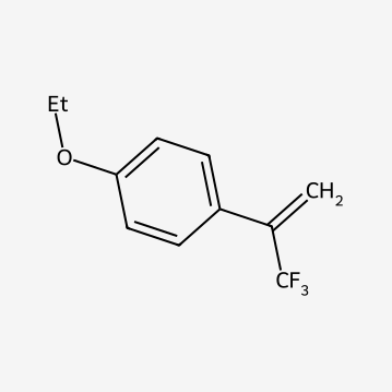 C=C(c1ccc(OCC)cc1)C(F)(F)F